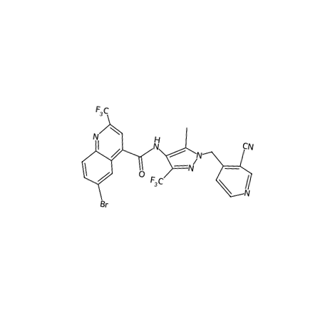 Cc1c(NC(=O)c2cc(C(F)(F)F)nc3ccc(Br)cc23)c(C(F)(F)F)nn1Cc1ccncc1C#N